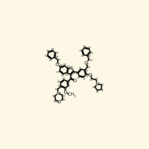 COc1cc(C(=O)c2c(-c3ccc(OCCN4CCCC4)c(COCc4ccccc4)c3)sc3cc(OCc4ccccc4)ccc23)ccc1CN1CCOCC1